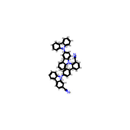 N#Cc1ccc2c3ccccc3n(-c3ccc(-c4cccc(C#N)c4-n4c5ccccc5c5cc(-n6c7ccccc7c7ccccc76)ccc54)cc3)c2c1